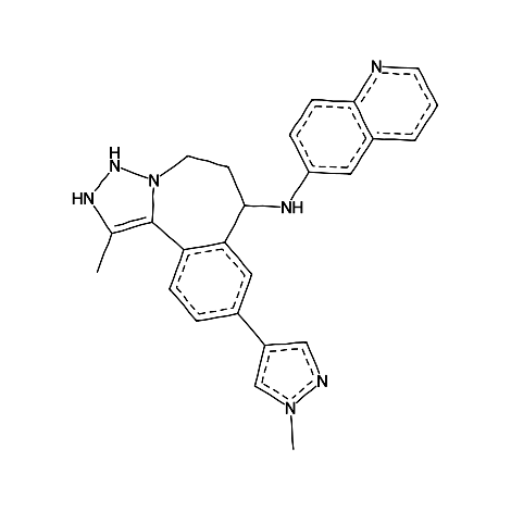 CC1=C2c3ccc(-c4cnn(C)c4)cc3C(Nc3ccc4ncccc4c3)CCN2NN1